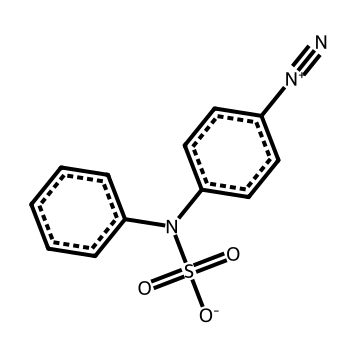 N#[N+]c1ccc(N(c2ccccc2)S(=O)(=O)[O-])cc1